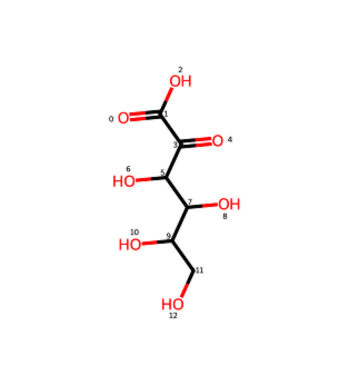 O=C(O)C(=O)C(O)C(O)C(O)CO